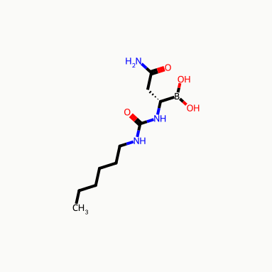 CCCCCCNC(=O)N[C@H](CC(N)=O)B(O)O